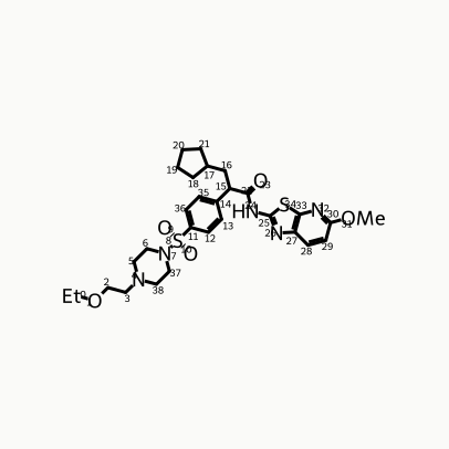 CCOCCN1CCN(S(=O)(=O)c2ccc(C(CC3CCCC3)C(=O)Nc3nc4ccc(OC)nc4s3)cc2)CC1